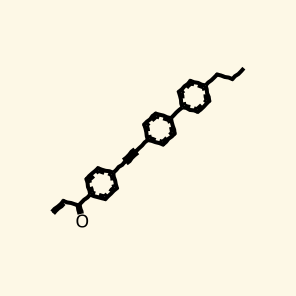 C=CC(=O)c1ccc(C#Cc2ccc(-c3ccc(CCC)cc3)cc2)cc1